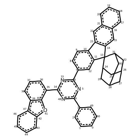 c1ccc(-c2nc(-c3ccc4c(c3)C3(c5cc6ccccc6cc5-4)C4CC5CC(C4)CC3C5)nc(-c3cccc4c3oc3ccccc34)n2)cc1